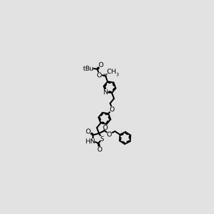 C[C@@H](OC(=O)C(C)(C)C)c1ccc(CCOc2ccc(CC3(C(=O)OCc4ccccc4)SC(=O)NC3=O)cc2)nc1